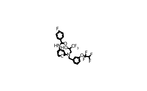 O=C(Nc1cccc(N(Cc2cccc(OC(F)(F)C(F)F)c2)CC(O)C(F)(F)F)c1)c1ccc(F)cc1